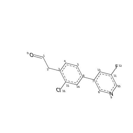 O=CCc1ccc(-c2cncc(F)c2)cc1Cl